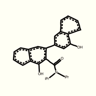 CC(C)N(C(=O)c1c(-c2cc(O)c3ccccc3c2)cc2ccccc2c1O)C(C)C